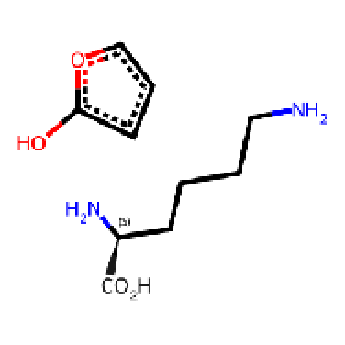 NCCCC[C@H](N)C(=O)O.Oc1ccco1